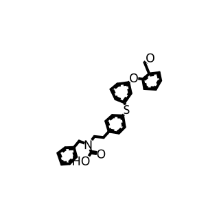 O=Cc1ccccc1Oc1cccc(Sc2ccc(CCN(Cc3ccccc3)C(=O)O)cc2)c1